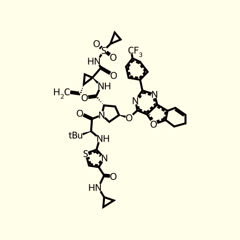 C=C[C@@H]1C[C@]1(NC(=O)[C@@H]1C[C@@H](Oc2nc(-c3ccc(C(F)(F)F)cc3)nc3c4c(oc23)CCC=C4)CN1C(=O)[C@@H](Nc1nc(C(=O)NC2CC2)cs1)C(C)(C)C)C(=O)NS(=O)(=O)C1CC1